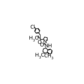 CN(Cc1ccc(Cl)cc1)C(=O)C1CCCN1C(=O)NC1CCC(C)(C)c2ccccc21